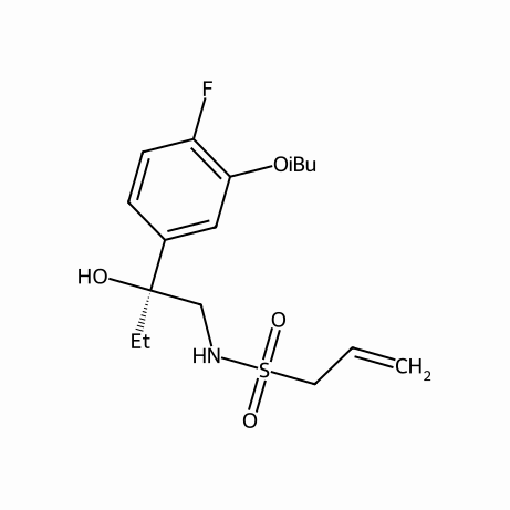 C=CCS(=O)(=O)NC[C@](O)(CC)c1ccc(F)c(OCC(C)C)c1